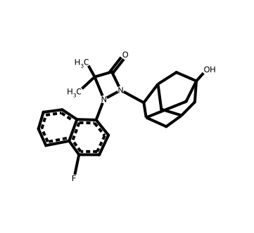 CC1(C)C(=O)N(C2C3CC4CC2CC(O)(C4)C3)N1c1ccc(F)c2ccccc12